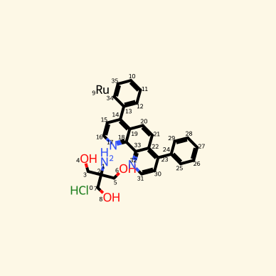 Cl.NC(CO)(CO)CO.[Ru].c1ccc(-c2ccnc3c2ccc2c(-c4ccccc4)ccnc23)cc1